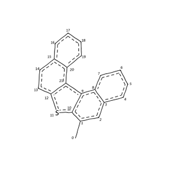 Cc1cc2ccccc2c2c1sc1ccc3ccccc3c12